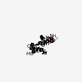 Cc1ncsc1-c1ccc([C@H](C)NC(=O)[C@@H]2C[C@@H](O)CN2C(=O)[C@@H](N2C(=O)CC[C@@H]2CCCN2CCC[C@H]2COc2nc(N3CC4CCC(C3)N4)c3cc(Cl)c(-c4ccc(F)c5sc(N)c(C#N)c45)c(F)c3n2)C(C)(C)C)cc1